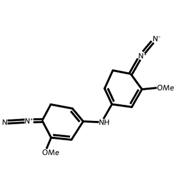 COC1=CC(NC2=CCC(=[N+]=[N-])C(OC)=C2)=CCC1=[N+]=[N-]